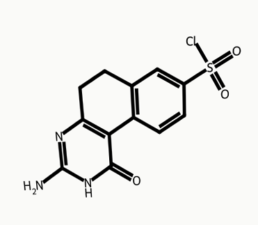 Nc1nc2c(c(=O)[nH]1)-c1ccc(S(=O)(=O)Cl)cc1CC2